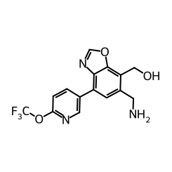 NCc1cc(-c2ccc(OC(F)(F)F)nc2)c2ncoc2c1CO